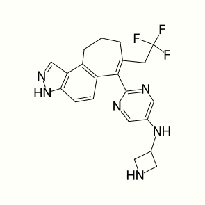 FC(F)(F)CC1=C(c2ncc(NC3CNC3)cn2)c2ccc3[nH]ncc3c2CCC1